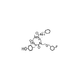 C[C@@H]1CN(CCOCc2cccc(F)c2)C(=O)[C@H](Cc2ccc(O)cc2)NC(=O)CN(C)N1C(=O)NCc1ccccc1